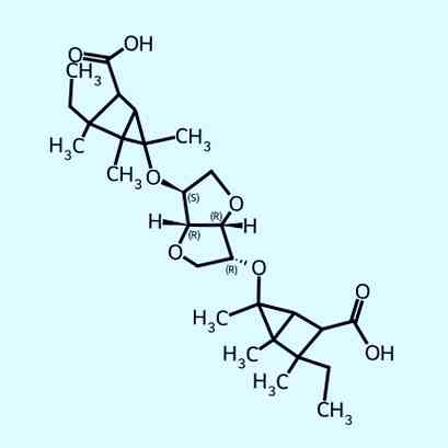 CCC1(C)C(C(=O)O)C2C(C)(O[C@H]3CO[C@H]4[C@@H]3OC[C@H]4OC3(C)C4C(C(=O)O)C(C)(CC)C43C)C21C